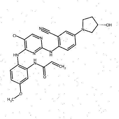 C=CC(=O)Nc1cc(OC)ccc1Nc1nc(Nc2ccc(N3CC[C@H](O)C3)cc2C#N)ncc1Cl